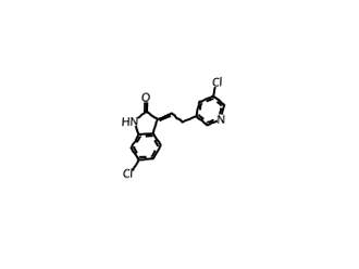 O=C1Nc2cc(Cl)ccc2/C1=C\Cc1cncc(Cl)c1